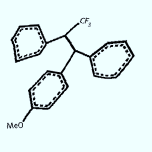 COc1ccc(C(c2ccccc2)C(c2ccccc2)C(F)(F)F)cc1